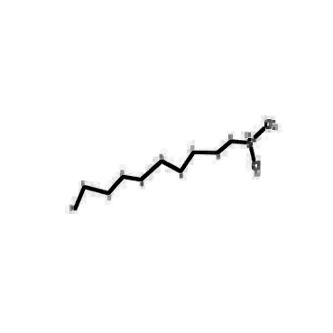 CCCCCCCCCC[S+]([O-])Cl